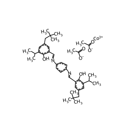 CC(=O)[O-].CC(=O)[O-].CC(C)c1cc(CC(C)(C)C)cc(C=Nc2ccc(N=Cc3cc(CC(C)(C)C)cc(C(C)C)c3O)cc2)c1O.[Co+2]